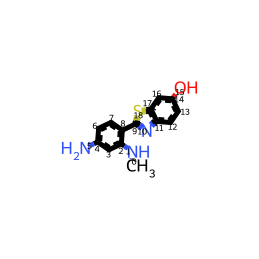 CNc1cc(N)ccc1-c1nc2ccc(O)cc2s1